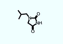 CC(C)CN1CC(=O)NC1=O